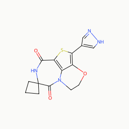 O=C1NC2(CCC2)C(=O)N2CCOc3c(-c4cn[nH]c4)sc1c32